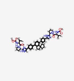 COC(=O)N[C@H](C(=O)N1CCCC1c1ncc(-c2ccc(-c3ccc(-c4ccc(-c5c[nH]c([C@@H]6CCCN6C(=O)[C@@H](NC(=O)OC)C(C)C)n5)cc4)c4c3C3(CCCC3)CC4)cc2)[nH]1)C(C)C